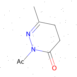 CC(=O)N1N=C(C)CCC1=O